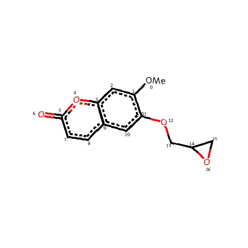 COc1cc2oc(=O)ccc2cc1OCC1CO1